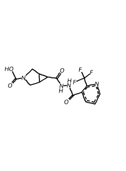 O=C(NNC(=O)C1C2CN(C(=O)O)CC21)c1cccnc1C(F)(F)F